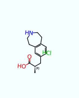 C[C@H](Cc1ccc2c(c1)CCNCC2)C(=O)O.Cl